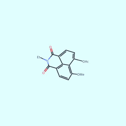 CCN1C(=O)c2ccc(OC)c3c(OC(C)=O)ccc(c23)C1=O